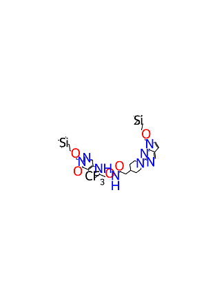 CC(CONC(=O)CC1CCN(c2ncc3ccn(COCC[Si](C)(C)C)c3n2)CC1)Nc1cnn(COCC[Si](C)(C)C)c(=O)c1C(F)(F)F